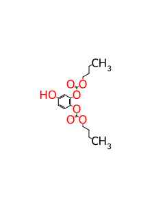 CCCCOC(=O)Oc1ccc(O)cc1OC(=O)OCCCC